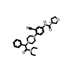 CCN(CC)C(=O)C(c1ccccc1)N1CCN(c2ccc(NC(=O)[C@H]3CCOC3)cc2C#N)CC1